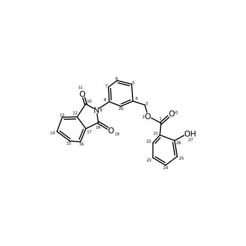 O=C(OCc1cccc(N2C(=O)c3ccccc3C2=O)c1)c1ccccc1O